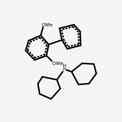 C1CCC(PC2CCCCC2)CC1.COc1cccc(OC)c1-c1ccccc1